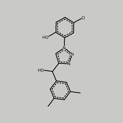 Cc1cc(C)cc(C(O)c2cn(-c3cc(Cl)ccc3O)nn2)c1